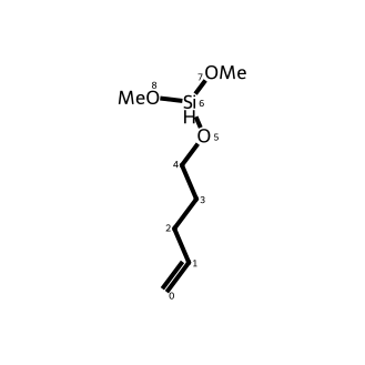 C=CCCCO[SiH](OC)OC